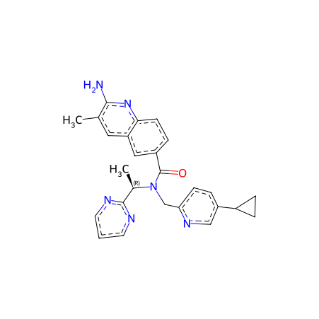 Cc1cc2cc(C(=O)N(Cc3ccc(C4CC4)cn3)[C@H](C)c3ncccn3)ccc2nc1N